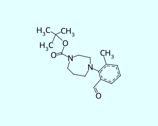 Cc1cccc(C=O)c1N1CCCN(C(=O)OC(C)(C)C)CC1